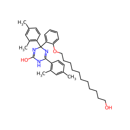 Cc1ccc(C2=NC(c3ccc(C)cc3C)(c3ccccc3OCCCCCCCCCCCO)N=C(O)N2)c(C)c1